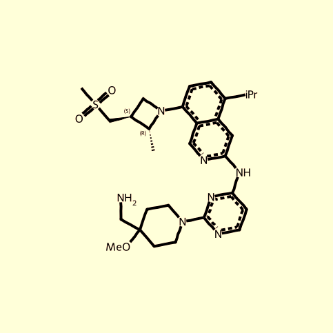 COC1(CN)CCN(c2nccc(Nc3cc4c(C(C)C)ccc(N5C[C@H](CS(C)(=O)=O)[C@H]5C)c4cn3)n2)CC1